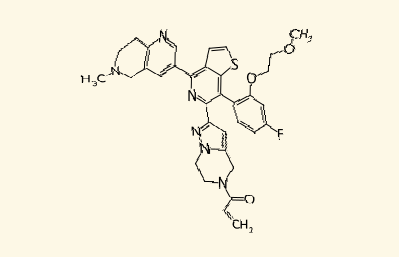 C=CC(=O)N1CCn2nc(-c3nc(-c4cnc5c(c4)CN(C)CC5)c4ccsc4c3-c3ccc(F)cc3OCCOC)cc2C1